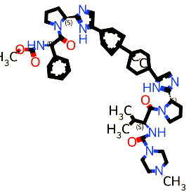 COC(=O)N[C@@H](C(=O)N1CCC[C@H]1c1ncc(-c2ccc(C34CCC(c5cnc([C@@H]6CCCN6C(=O)[C@@H](NC(=O)N6CCN(C)CC6)C(C)C)[nH]5)(CC3)CC4)cc2)[nH]1)c1ccccc1